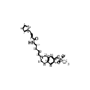 O=C(/C=C/c1cccs1)NCCCCN1CCc2ccc(OS(=O)(=O)C(F)(F)F)cc2C1